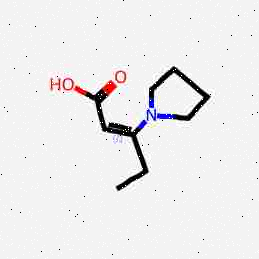 CC/C(=C/C(=O)O)N1CCCC1